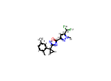 Cc1ccc(C(F)(F)F)cc1C1(c2noc(-c3cc(C(F)F)n(C)n3)n2)CC1